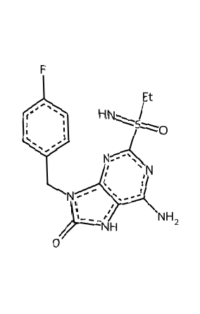 CCS(=N)(=O)c1nc(N)c2[nH]c(=O)n(Cc3ccc(F)cc3)c2n1